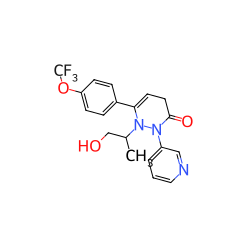 CC(CO)N1C(c2ccc(OC(F)(F)F)cc2)=CCC(=O)N1c1cccnc1